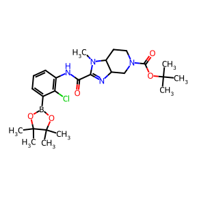 CN1C(C(=O)Nc2cccc(B3OC(C)(C)C(C)(C)O3)c2Cl)=NC2CN(C(=O)OC(C)(C)C)CCC21